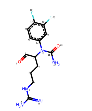 N=C(N)NCCCC(C=O)N(C(N)=O)c1ccc(F)c(F)c1